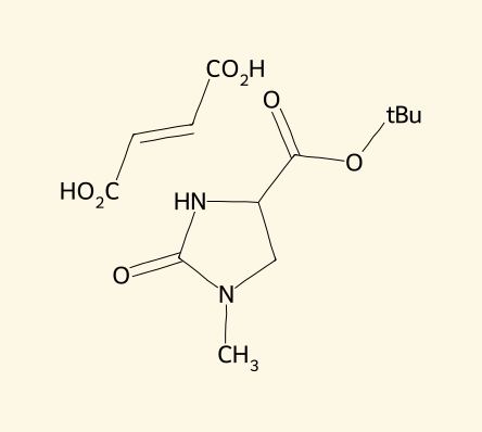 CN1CC(C(=O)OC(C)(C)C)NC1=O.O=C(O)/C=C/C(=O)O